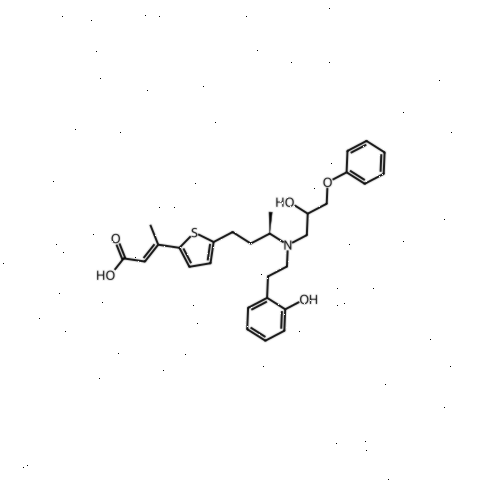 C/C(=C\C(=O)O)c1ccc(CC[C@@H](C)N(CCc2ccccc2O)CC(O)COc2ccccc2)s1